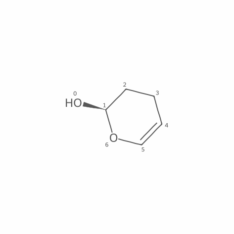 O[C@H]1CCC=CO1